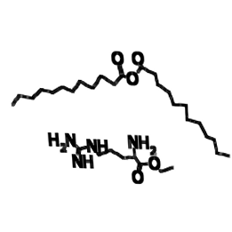 CCCCCCCCCCCC(=O)OC(=O)CCCCCCCCCCC.CCOC(=O)C(N)CCCNC(=N)N